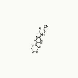 N#CC1CCN(c2ncc(C3[CH]CCCC3)cn2)CC1